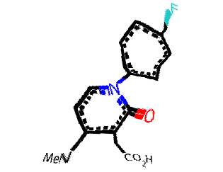 CNc1ccn(-c2ccc(F)cc2)c(=O)c1C(=O)O